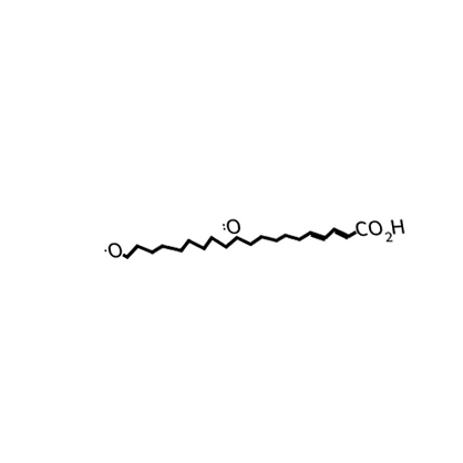 [O].[O]CCCCCCCCCCCCCCCC=CC=CC(=O)O